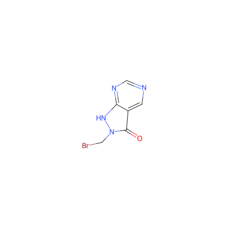 O=c1c2cncnc2[nH]n1CBr